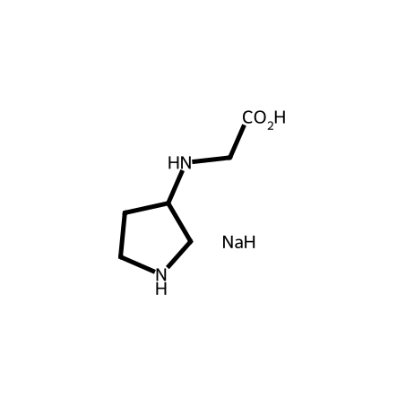 O=C(O)CNC1CCNC1.[NaH]